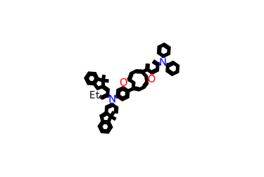 C=C/C(=C\C1=Cc2ccccc2C1(C)C)N(C(=C/CC)/C=C1\Cc2ccccc2C1(C)C)c1ccc2c(c1)O/C1=C/C=C3\C/C(=C\C=C\2C1)O/C(=C/C(=C)N(C1=CCCC=C1)C1C=CC=CC1)C3=C